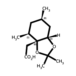 C[C@H]1C[C@@H]2OC(C)(C)O[C@]2(CC(=O)O)[C@@H](C)C1